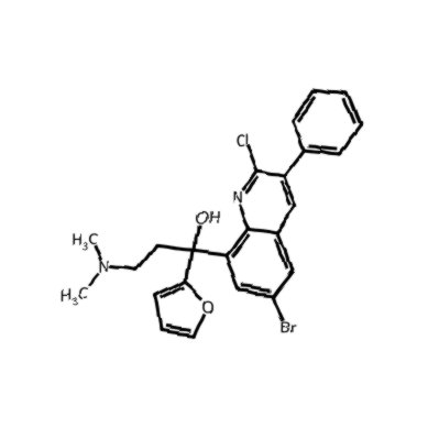 CN(C)CCC(O)(c1ccco1)c1cc(Br)cc2cc(-c3ccccc3)c(Cl)nc12